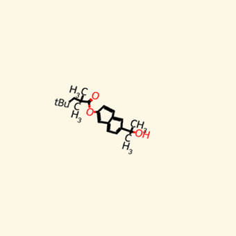 CC(C)(C)CC(C)(C)C(=O)Oc1ccc2cc(C(C)(C)O)ccc2c1